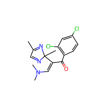 CC1=NC(C)(/C(=C\N(C)C)C(=O)c2ccc(Cl)cc2Cl)N=C1